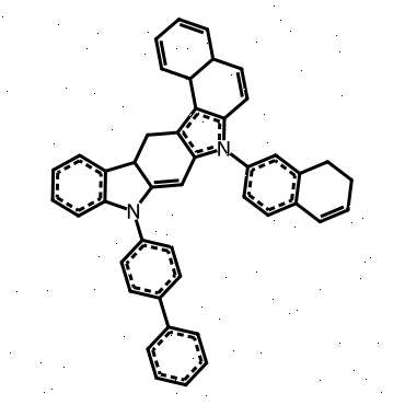 C1=CC2C=Cc3c(c4c(n3-c3ccc5c(c3)CCC=C5)C=C3C(C4)c4ccccc4N3c3ccc(-c4ccccc4)cc3)C2C=C1